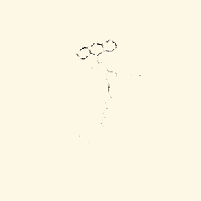 CCCCCCC(CC=CCCCCCCCC(=O)O)OC(=O)c1c2ccccc2cc2ccccc12